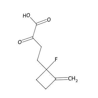 C=C1CCC1(F)CCC(=O)C(=O)O